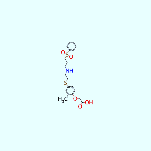 Cc1cc(SCCNCCCS(=O)(=O)c2ccccc2)ccc1OCC(=O)O